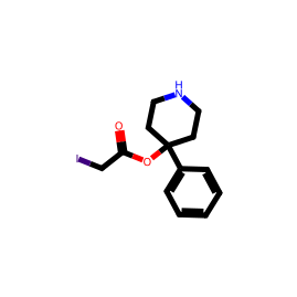 O=C(CI)OC1(c2ccccc2)CCNCC1